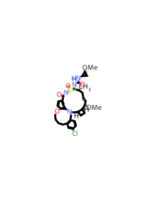 CO[C@H]1/C=C/C[C@H](C)C(NC(=O)N[C@@H]2C[C@H]2OC)/[SH](=O)=N\C(=O)c2ccc3c(c2)N(Cc2ccc(Cl)cc2CCCCO3)C[C@@H]2CC[C@H]21